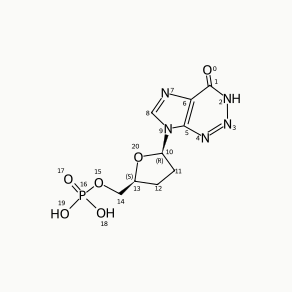 O=c1[nH]nnc2c1ncn2[C@H]1CC[C@@H](COP(=O)(O)O)O1